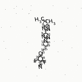 CC(C)Cc1nc(-c2cnc(N3CCC(CCCOc4cc(F)c(C#N)c(F)c4)CC3)nc2)no1